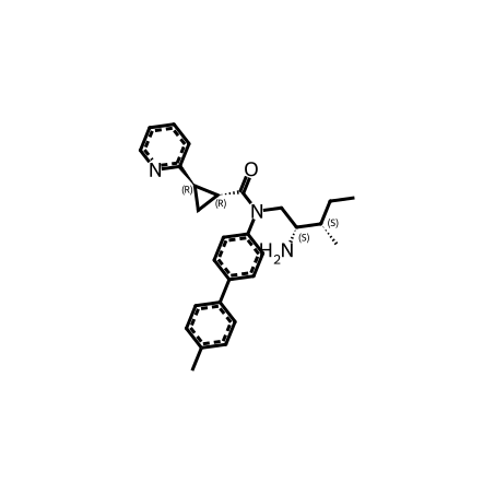 CC[C@H](C)[C@H](N)CN(C(=O)[C@@H]1C[C@H]1c1ccccn1)c1ccc(-c2ccc(C)cc2)cc1